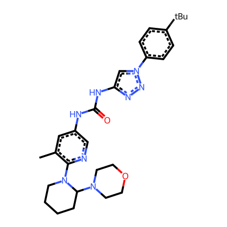 Cc1cc(NC(=O)Nc2cn(-c3ccc(C(C)(C)C)cc3)nn2)cnc1N1CCCCC1N1CCOCC1